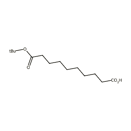 CC(C)(C)OC(=O)CCCCCCCCC(=O)O